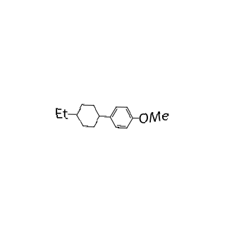 CCC1CCC(c2ccc(OC)cc2)CC1